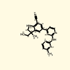 Cc1ccnc(Nc2nccc(-c3cc(C#N)c4c(c3)C(C)(CO)CN4)n2)n1